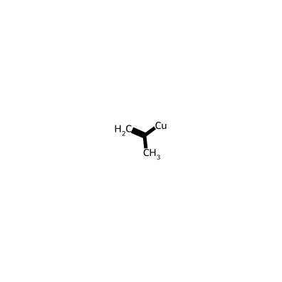 C=[C](C)[Cu]